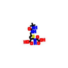 CC(C)(C)NC(=O)NCc1cc(C(=O)O)c(NC(=O)C(=O)O)s1